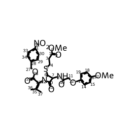 COC(=O)CCSC1C(NC(=O)COc2ccc(OC)cc2)C(=O)N1C(C(=O)OCc1ccc([N+](=O)[O-])cc1)=C(C)C